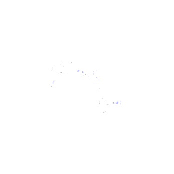 N#Cc1cccc(C/C=N/NC(=N)N/N=C/Cc2cccc(C#N)c2)c1